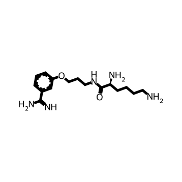 N=C(N)c1cccc(OCCCNC(=O)[C@@H](N)CCCCN)c1